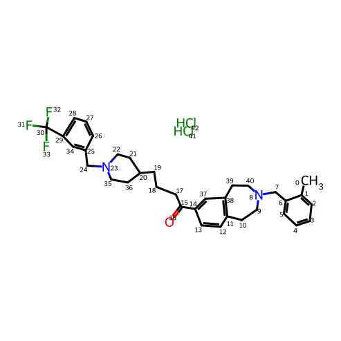 Cc1ccccc1CN1CCc2ccc(C(=O)CCCC3CCN(Cc4cccc(C(F)(F)F)c4)CC3)cc2CC1.Cl.Cl